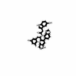 O=C(Cc1c[nH]c2ccc(O)cc12)NC(Cc1cc(F)cc(F)c1)c1nc2cn[nH]c2cc1-c1ccc2scnc2c1